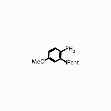 CCCC(C)c1cc(OC)ccc1P